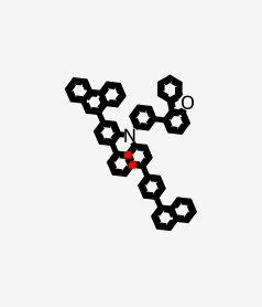 c1ccc(-c2ccc(-c3cc4ccccc4c4ccccc34)cc2N(c2ccc(-c3ccc(-c4cccc5ccccc45)cc3)cc2)c2cccc(-c3cccc4oc5ccccc5c34)c2)cc1